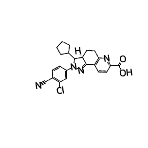 N#Cc1ccc(N2N=C3c4ccc(C(=O)O)nc4CC[C@@H]3C2C2CCCC2)cc1Cl